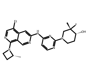 CCc1cnc(N2CC[C@H]2C)c2cnc(Nc3ccnc(N4CC[C@@H](O)[C@@](C)(F)C4)n3)cc12